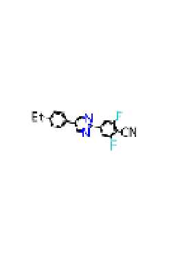 CCc1ccc(-c2cnc(-c3cc(F)c(C#N)c(F)c3)nc2)cc1